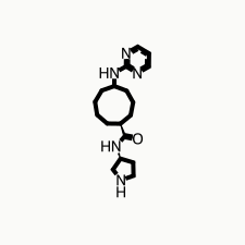 O=C(N[C@@H]1CCNC1)[C@H]1CCCCC(Nc2ncccn2)CCC1